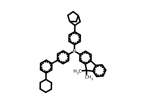 CC1(C)c2ccccc2-c2ccc(N(c3ccc(-c4cccc(C5CCCCC5)c4)cc3)c3ccc(C4CC5CCC4C5)cc3)cc21